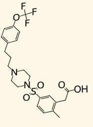 Cc1ccc(S(=O)(=O)N2CCN(CCCc3ccc(OC(F)(F)F)cc3)CC2)cc1CC(=O)O